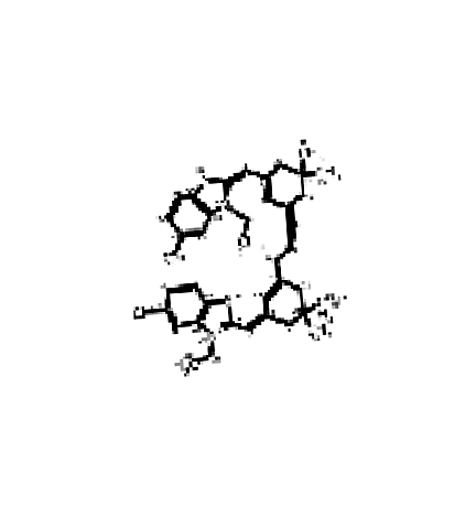 CCN1C(=CC2=CC(=C=CCC3=CC(=Cc4sc5ccc(Cl)cc5[n+]4CC)CC(C)(C)C3)CC(C)(C)C2)Sc2ccc(Cl)cc21.[I-]